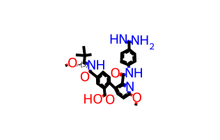 COC[C@@H](NC(=O)c1ccc(-c2ccc(OC)nc2C(=O)Nc2ccc(C(=N)N)cc2)c(C(=O)O)c1)C(C)(C)C